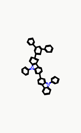 c1ccc(-c2cc(-c3ccccc3)cc(-c3ccc4c(c3)c3ccc(-c5ccc6c7ccccc7n(-c7ccccc7)c6c5)cc3n4-c3ccccc3)c2)cc1